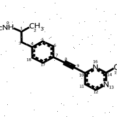 CC(=O)NC(C)Cc1ccc(C#Cc2ccnc(Cl)n2)cc1